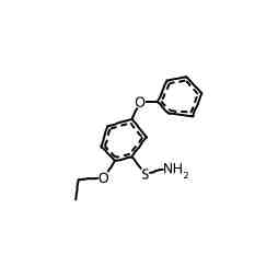 CCOc1ccc(Oc2ccccc2)cc1SN